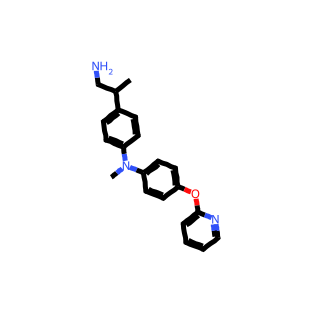 CC(CN)c1ccc(N(C)c2ccc(Oc3ccccn3)cc2)cc1